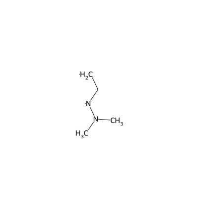 [CH2]C[N]N(C)C